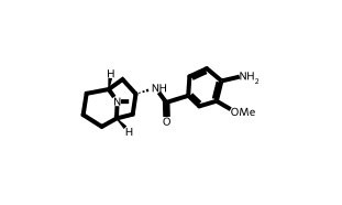 COc1cc(C(=O)N[C@H]2C[C@H]3CCC[C@@H](C2)N3C)ccc1N